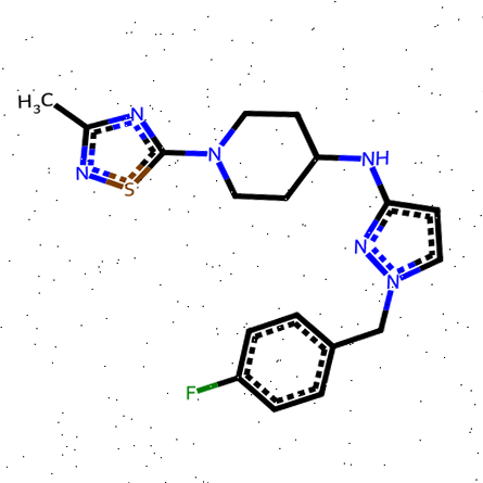 Cc1nsc(N2CCC(Nc3ccn(Cc4ccc(F)cc4)n3)CC2)n1